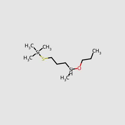 CCCO[SiH](C)CCCS[Si](C)(C)C